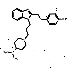 CN(C)C1CCN(CCCn2c(COc3ccc(Cl)cc3)nc3ccccc32)CC1